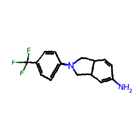 NC1=CC2CN(c3ccc(C(F)(F)F)cc3)CC2C=C1